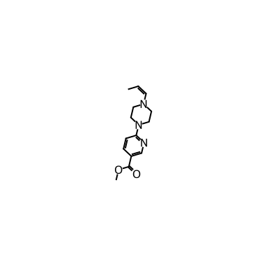 C/C=C\N1CCN(c2ccc(C(=O)OC)cn2)CC1